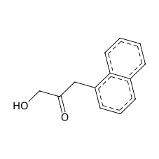 O=C(CO)Cc1cccc2ccccc12